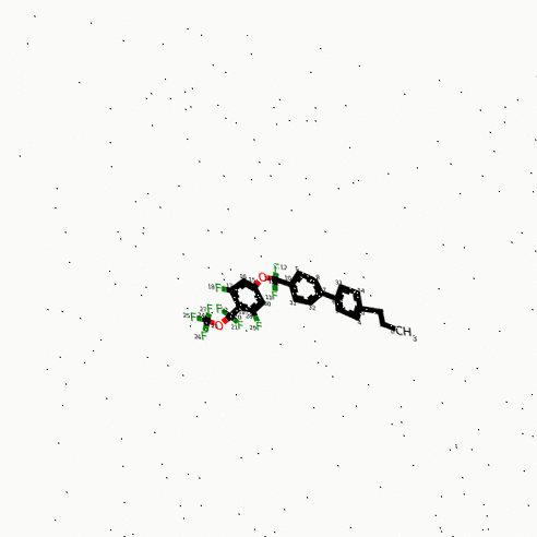 CCCc1ccc(-c2ccc(C(F)(F)Oc3cc(F)c(C(F)(F)OC(F)(F)F)c(F)c3)cc2)cc1